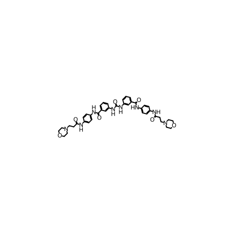 O=C(CCN1CCOCC1)Nc1ccc(NC(=O)c2cccc(NC(=O)Nc3cccc(C(=O)Nc4ccc(NC(=O)CCN5CCOCC5)cc4)c3)c2)cc1